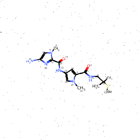 CSSC(C)(C)CNC(=O)c1cc(NC(=O)c2nc(N)cn2C)cn1C